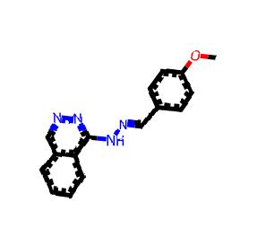 COc1ccc(/C=N/Nc2nncc3ccccc23)cc1